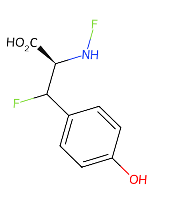 O=C(O)[C@@H](NF)C(F)c1ccc(O)cc1